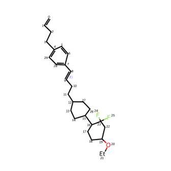 C=CCCc1ccc(/C=C/CCC2CCC(C3CCC(OCC)CC3(F)F)CC2)cc1